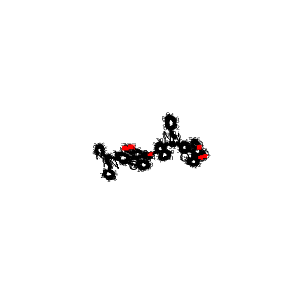 C1=CCCC(c2nc(-c3ccc4c(c3)Oc3ccccc3C43c4ccc(-c5ccc(-c6cc(-c7ccc8c(c7)Oc7ccccc7C87c8ccccc8C8C=CC=CC87)nc(-c7ccccc7)n6)c6ccccc56)cc4C4C=CC=CC43)cc(-c3ccccn3)n2)=C1